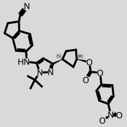 CC(C)(C)n1nc([C@H]2CC[C@@H](OC(=O)Oc3ccc([N+](=O)[O-])cc3)C2)cc1Nc1ccc2c(c1)CCC2C#N